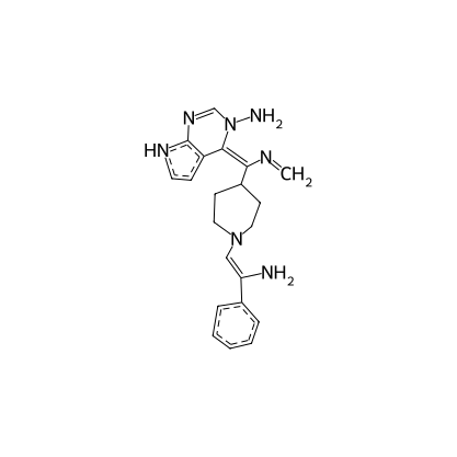 C=N/C(=C1/c2cc[nH]c2N=CN1N)C1CCN(/C=C(\N)c2ccccc2)CC1